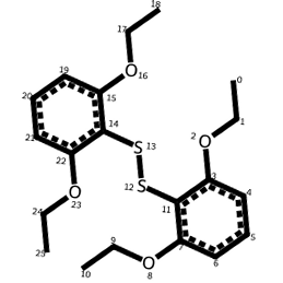 CCOc1cccc(OCC)c1SSc1c(OCC)cccc1OCC